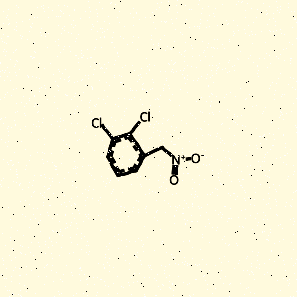 O=[N+]([O-])Cc1cccc(Cl)c1Cl